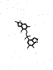 Cc1cc2c(I)c(CCC(C)(C)c3cc(I)c(C)c4sccc34)c(C)cc2s1